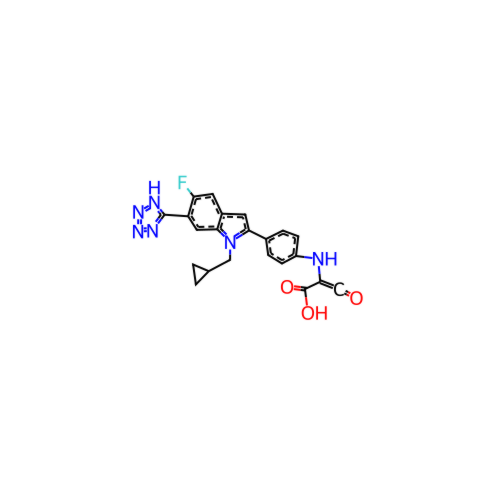 O=C=C(Nc1ccc(-c2cc3cc(F)c(-c4nnn[nH]4)cc3n2CC2CC2)cc1)C(=O)O